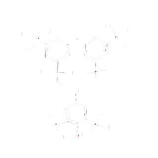 CC(C)(C)c1cc(Cc2cc(C(C)(C)C)c(O)c(C(C)(C)C)c2)cc(C(C)(C)C)c1O.Cc1cc(C(C)(C)C)c(O)c(C(C)(C)C)c1